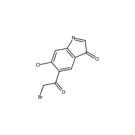 O=C(CBr)c1cc2c(cc1Cl)N=CC2=O